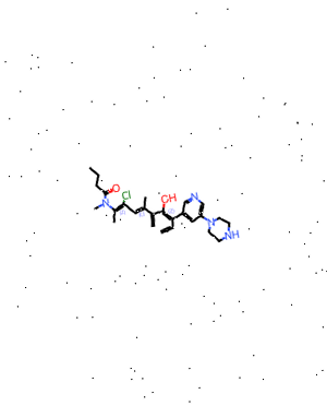 C=C/C(=C(/O)C(=C)/C(C)=C/C(Cl)=C(\C)N(C)C(=O)CCC)c1cncc(N2CCNCC2)c1